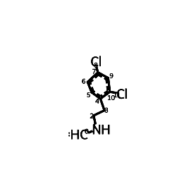 [CH]NCCc1ccc(Cl)cc1Cl